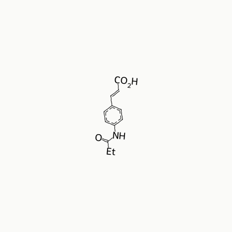 CCC(=O)Nc1ccc(C=CC(=O)O)cc1